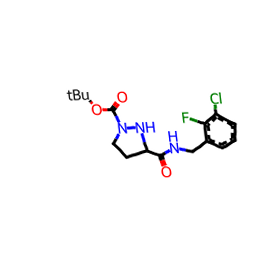 CC(C)(C)OC(=O)N1CCC(C(=O)NCc2cccc(Cl)c2F)N1